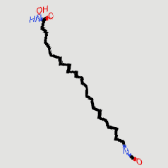 O=C=NCCCCCCCCCCCCCCCCCCCCCCCCC(=O)NO